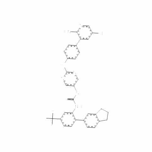 Nc1ncc(Cl)cc1-c1ccc(Oc2ncc(NC(=O)Nc3cc(C(F)(F)F)ccc3-c3ccc4c(c3)CCC4)cn2)cc1